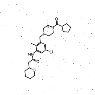 Cc1c(CN2CCN(C(=O)C3CCCC3)[C@@H](C)C2)cc(Cl)cc1NC(=O)CC1CCCCO1